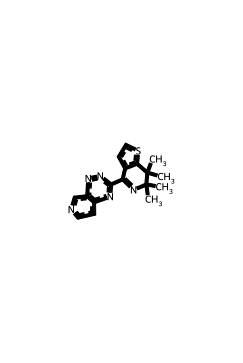 CC1(C)N=C(c2nnc3cnccc3n2)c2ccsc2C1(C)C